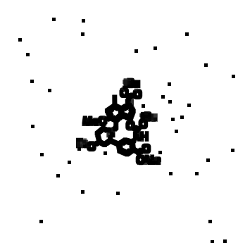 CCOC1CCN(Cc2c(OC)cc(C)c3c2ccn3C(=O)OC(C)(C)C)C(c2ccc(C(=O)OC)c(NC(=O)OC(C)(C)C)c2)C1